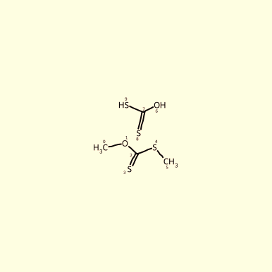 COC(=S)SC.OC(=S)S